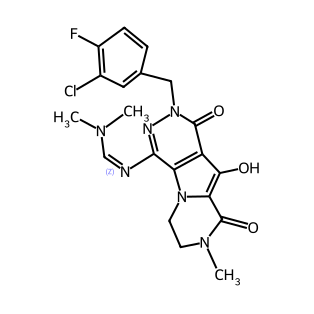 CN(C)/C=N\c1nn(Cc2ccc(F)c(Cl)c2)c(=O)c2c(O)c3n(c12)CCN(C)C3=O